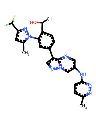 Cc1ccc(Nc2cnc3c(-c4ccc(C(C)O)c(-n5nc(C(F)F)cc5C)c4)cnn3c2)nn1